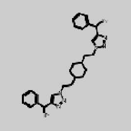 CC(C)C(c1ccccc1)c1cn(CCC2CCC(CCn3cc(C(c4ccccc4)C(C)C)nn3)CC2)nn1